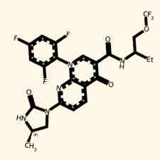 CCC(COC(F)(F)F)NC(=O)c1cn(-c2c(F)cc(F)cc2F)c2nc(N3C[C@@H](C)NC3=O)ccc2c1=O